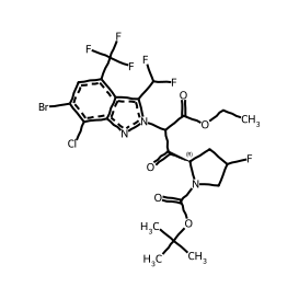 CCOC(=O)C(C(=O)[C@H]1CC(F)CN1C(=O)OC(C)(C)C)n1nc2c(Cl)c(Br)cc(C(F)(F)F)c2c1C(F)F